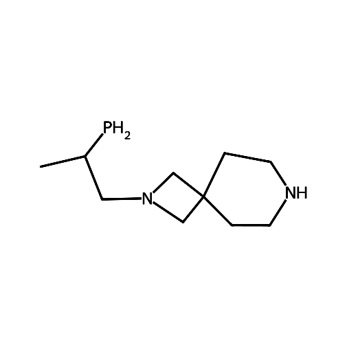 CC(P)CN1CC2(CCNCC2)C1